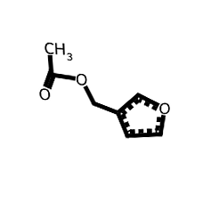 CC(=O)OCc1ccoc1